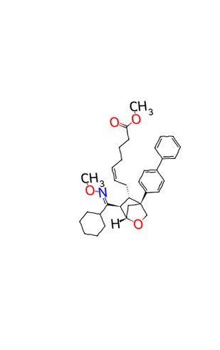 CON=C(C1CCCCC1)[C@@H]1[C@@H]2C[C@@](c3ccc(-c4ccccc4)cc3)(CO2)[C@H]1C/C=C\CCCC(=O)OC